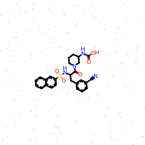 N#Cc1cccc(CC(NS(=O)(=O)c2ccc3ccccc3c2)C(=O)N2CCCC(NC(=O)O)C2)c1